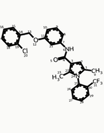 Cc1cc(C(=O)Nc2cccc(OCc3ccccc3Cl)c2)c(C)n1-c1ccccc1C(F)(F)F